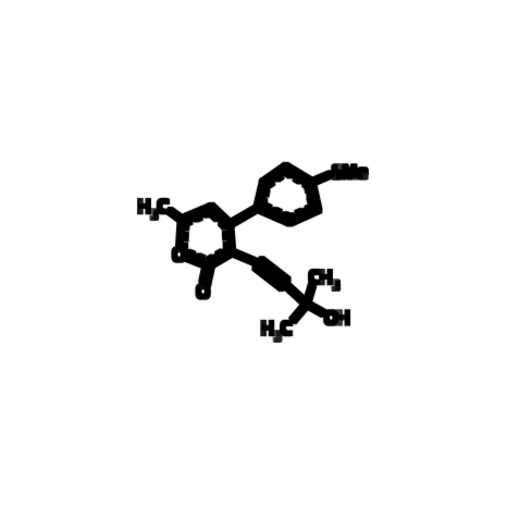 CSc1ccc(-c2cc(C)oc(=O)c2C#CC(C)(C)O)cc1